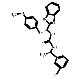 COc1ccc(C[C@@H](NC(=O)N[C@H](C)c2cccc(Cl)c2)c2nc3ccccc3[nH]2)cc1